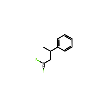 CC(C[SiH](F)F)c1ccccc1